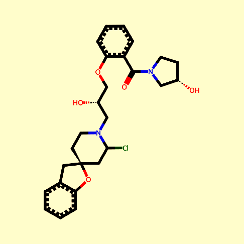 O=C(c1ccccc1OC[C@@H](O)CN1CC[C@@]2(Cc3ccccc3O2)CC1Cl)N1CC[C@H](O)C1